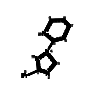 CC(C)c1ncn(-c2ccccn2)n1